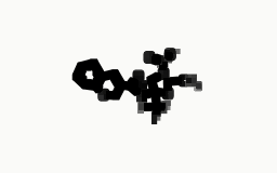 CCOC(CO[N+](=O)[O-])(NC(=O)C1=Cc2ccccc2OC1)C(F)(F)F